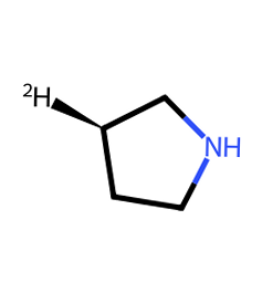 [2H][C@@H]1CCNC1